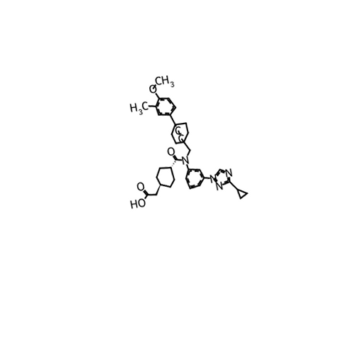 COc1ccc(C23CCC(CN(c4cccc(-n5cnc(C6CC6)n5)c4)C(=O)[C@H]4CC[C@H](CC(=O)O)CC4)(CC2)CC3)cc1C